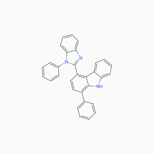 c1ccc(-c2ccc(-c3nc4ccccc4n3-c3ccccc3)c3c2[nH]c2ccccc23)cc1